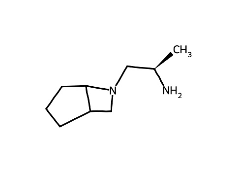 C[C@@H](N)CN1CC2CCCC21